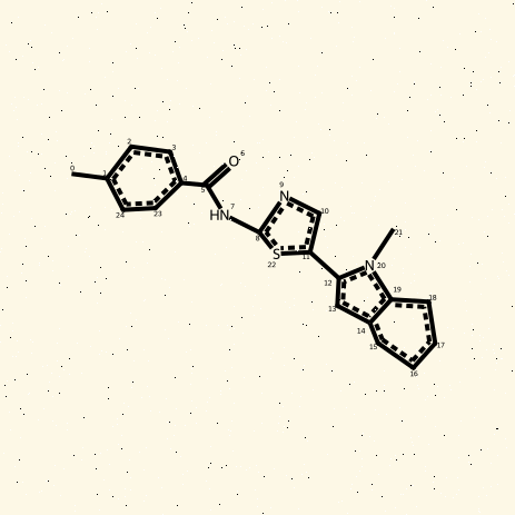 Cc1ccc(C(=O)Nc2ncc(-c3cc4ccccc4n3C)s2)cc1